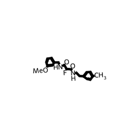 COc1cccc(CNC(=O)C(F)C(=O)N[CH]Cc2ccc(C)cc2)c1